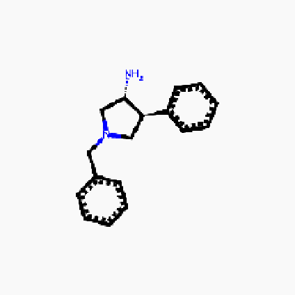 N[C@H]1CN(Cc2ccccc2)C[C@@H]1c1ccccc1